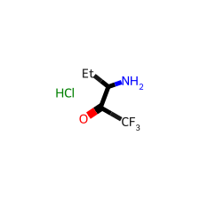 CCC(N)C(=O)C(F)(F)F.Cl